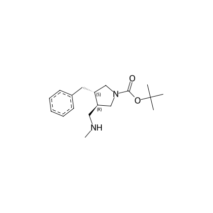 CNC[C@@H]1CN(C(=O)OC(C)(C)C)C[C@H]1Cc1ccccc1